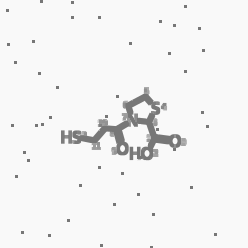 O=C(O)C1SCCN1C(=O)CCS